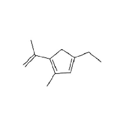 C=C(C)C1=C(C)C=C(CC)C1